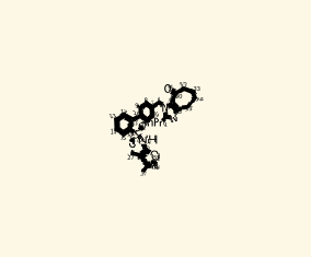 CCCc1nc2c(n1Cc1ccc(-c3ccccc3S(=O)(=O)Nc3onc(C)c3C)cc1)C(=O)CCCC2